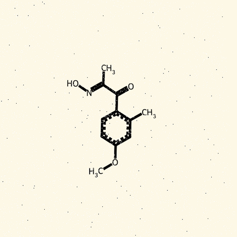 COc1ccc(C(=O)C(C)=NO)c(C)c1